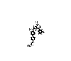 Nc1nc(Nc2ccc(N3CCN(CCCO)CC3)cc2)sc1C(=O)c1cccc(F)c1